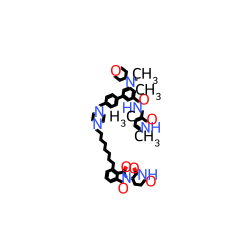 CCN(c1cc(-c2ccc(CN3CCN(CCCCCCCCc4cccc5c4C(=O)N(C4CCC(=O)NC4=O)C5=O)CC3)cc2)cc(C(=O)NCc2c(C)cc(C)[nH]c2=O)c1C)C1CCOCC1